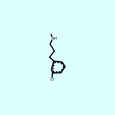 CNCCCc1cccc(Cl)c1